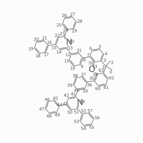 CC1(C)c2cccc(-c3cccc(-c4cc(-c5ccccc5)cc(-c5ccccc5)n4)c3)c2Oc2c(-c3cccc(-c4cc(-c5ccccc5)cc(-c5ccccc5)n4)c3)cccc21